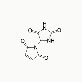 O=C1NC(=O)C(N2C(=O)C=CC2=O)N1